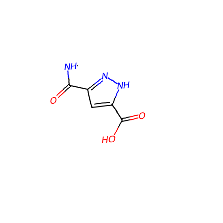 [NH]C(=O)c1cc(C(=O)O)[nH]n1